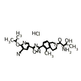 Cc1c(-c2noc(-c3cnc(OC(C)C)c(C#N)c3)n2)ccc2c1CCN(C(=O)[C@@H](N)[C@@H](C)O)C2.Cl